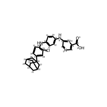 O=C(O)c1cncc(Nc2ccc(Nc3ccc(C45CC6CC(CC(C6)C4)C5)cc3Cl)cc2)n1